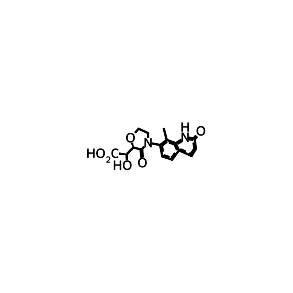 Cc1c(N2CCO[C@H]([C@@H](O)C(=O)O)C2=O)ccc2ccc(=O)[nH]c12